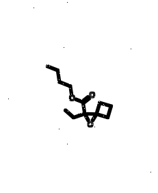 CCCCOC(=O)C1(CC)OC12CCC2